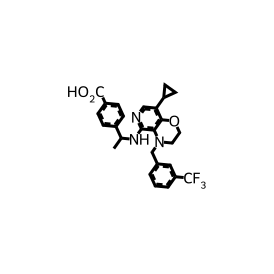 CC(Nc1ncc(C2CC2)c2c1N(Cc1cccc(C(F)(F)F)c1)CCO2)c1ccc(C(=O)O)cc1